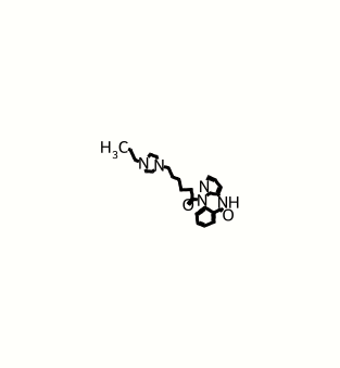 CCCN1CCN(CCCCCC(=O)N2c3ccccc3C(=O)Nc3cccnc32)CC1